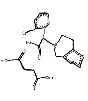 O=C(O)CCC(=O)O.O=C(O)[C@H](c1ccccc1Cl)N1CCc2sccc2C1